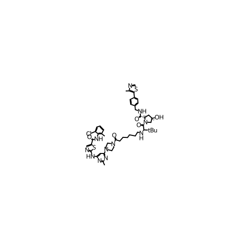 Cc1nc(Nc2ncc(C(=O)Nc3c(C)cccc3Cl)s2)cc(N2CCN(C(=O)CCCCCCNC(C(=O)N3C[C@H](O)C[C@H]3C(=O)NCc3ccc(-c4scnc4C)cc3)C(C)(C)C)CC2)n1